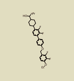 CCCC(O)C1CCC(c2ccc(-c3ccc(OCc4ccc(OCC)c(F)c4F)cc3)c(F)c2F)CC1